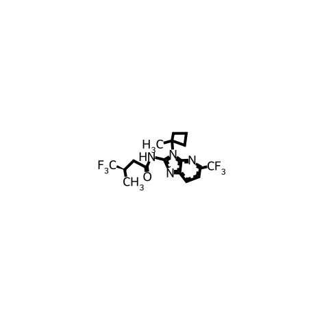 C[C@H](CC(=O)Nc1nc2ccc(C(F)(F)F)nc2n1C1(C)CCC1)C(F)(F)F